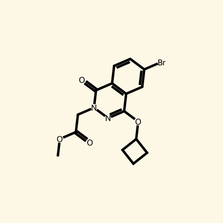 COC(=O)Cn1nc(OC2CCC2)c2cc(Br)ccc2c1=O